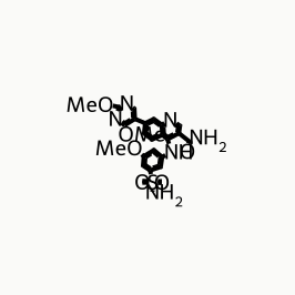 COc1cc(Nc2c(C(N)=O)cnc3cc(-c4cnc(OC)nc4OC)ccc23)cc(S(N)(=O)=O)c1